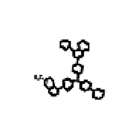 C[C@@H]1CCc2c(cccc2-c2ccc(N(c3ccc(C4=CCCC=C4)cc3)c3ccc(-c4cc(-c5ccccc5)c5ccccc5c4)cc3)cc2)C1